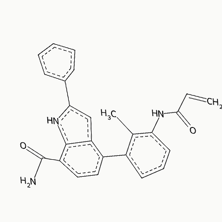 C=CC(=O)Nc1cccc(-c2ccc(C(N)=O)c3[nH]c(-c4ccccc4)cc23)c1C